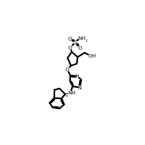 NS(=O)(=O)OC1CC(Oc2cc(N[C@H]3CCc4ccccc43)ncn2)CC1CO